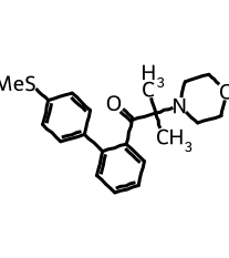 CSc1ccc(-c2ccccc2C(=O)C(C)(C)N2CCOCC2)cc1